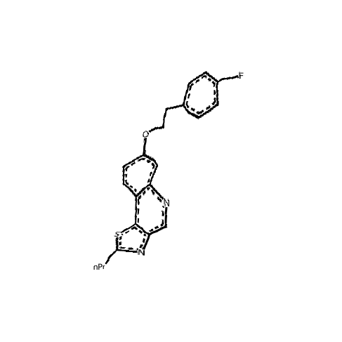 CCCc1nc2cnc3cc(OCCc4ccc(F)cc4)ccc3c2s1